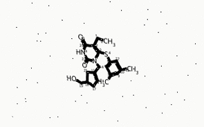 CCc1c(Sc2cc(C)cc(C)c2)n(CC2=CCC(CO)C2)c(=O)[nH]c1=O